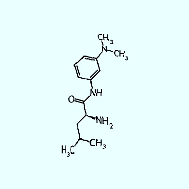 CC(C)C[C@H](N)C(=O)Nc1cccc(N(C)C)c1